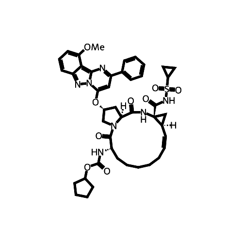 COc1cccc2nn3c(O[C@@H]4C[C@H]5C(=O)N[C@]6(C(=O)NS(=O)(=O)C7CC7)C[C@H]6/C=C\CCCCC[C@H](NC(=O)OC6CCCC6)C(=O)N5C4)cc(-c4ccccc4)nc3c12